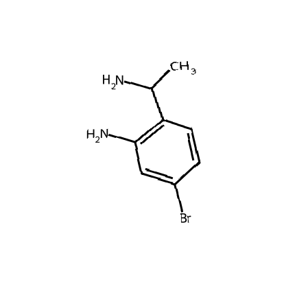 CC(N)c1ccc(Br)cc1N